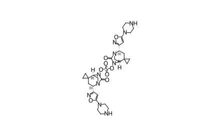 O=C1N2C[C@H](N1OS(=O)(=O)ON1C(=O)N3C[C@H]1C1(CC1)C[C@H]3c1cc(N3CCNCC3)on1)C1(CC1)C[C@H]2c1cc(N2CCNCC2)on1